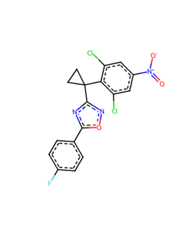 O=[N+]([O-])c1cc(Cl)c(C2(c3noc(-c4ccc(F)cc4)n3)CC2)c(Cl)c1